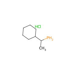 CC(P)C1CCCCC1.Cl